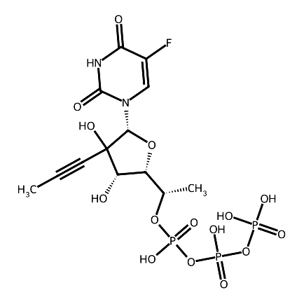 CC#CC1(O)[C@@H](O)[C@@H]([C@H](C)OP(=O)(O)OP(=O)(O)OP(=O)(O)O)O[C@H]1n1cc(F)c(=O)[nH]c1=O